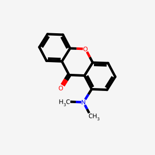 CN(C)c1cccc2oc3ccccc3c(=O)c12